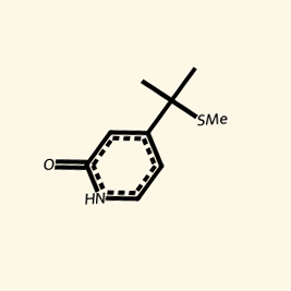 CSC(C)(C)c1cc[nH]c(=O)c1